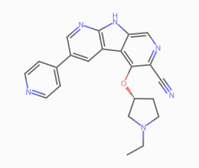 CCN1CC[C@H](Oc2c(C#N)ncc3[nH]c4ncc(-c5ccncc5)cc4c23)C1